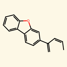 C=C(/C=C\C)c1ccc2c(c1)oc1ccccc12